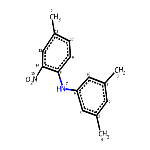 Cc1cc(C)cc(Nc2ccc(C)cc2[N+](=O)[O-])c1